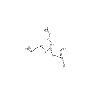 O=C([O-])C[N+](=CCCO)CCO